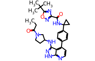 CCC(=O)N1CCC(Nc2n[nH]c3nccc(-c4ccc(C5(NC(=O)c6noc(C(C)(C)C)n6)CC5)cc4)c23)C1